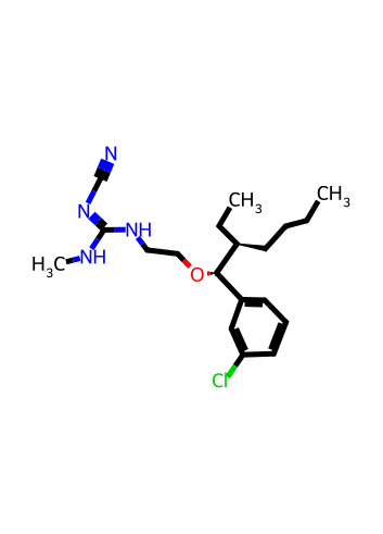 CCCC[C@H](CC)[C@@H](OCCN/C(=N\C#N)NC)c1cccc(Cl)c1